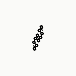 c1ccc([Si](c2ccccc2)(c2cccc(-c3cccc(-c4cccc5c4sc4ccccc45)c3)c2)c2cccc(-c3cccc(-c4cccc5c4sc4ccccc45)c3)c2)cc1